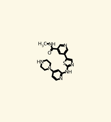 CNC(=O)c1cncc(-c2cnc(Nc3cc(N4CCNCC4)ccn3)s2)c1